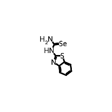 NC(=[Se])Nc1nc2ccccc2s1